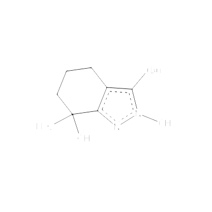 Cn1nc2c(c1C(C)(C)C)CCCC2(C)C